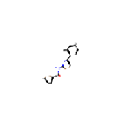 Cc1ccc(-c2csc(N(C)C(=O)c3cccs3)n2)c(C)c1